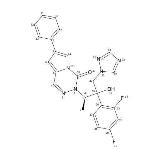 C[C@@H](n1ncc2cc(-c3ccccc3)cn2c1=O)C(O)(Cn1cncn1)c1ccc(F)cc1F